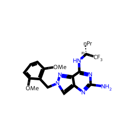 CCC[C@@H](Nc1nc(N)nc2cn(Cc3c(OC)cccc3OC)nc12)C(F)(F)F